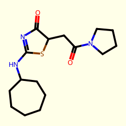 O=C1N=C(NC2CCCCCC2)SC1CC(=O)N1CCCC1